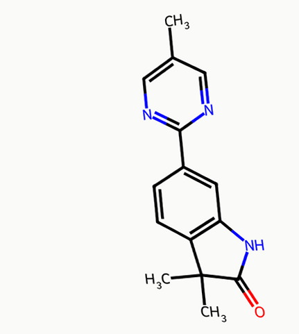 Cc1cnc(-c2ccc3c(c2)NC(=O)C3(C)C)nc1